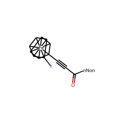 CCCCCCCCCC(=O)C#C[C]12[CH]3[CH]4[CH]5[CH]1[Fe]45321678[CH]2[CH]1[CH]6[C]7(I)[CH]28